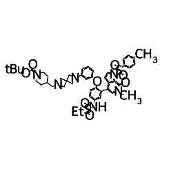 CCS(=O)(=O)Nc1ccc(Oc2cccc(N3CC4(CN(CC5CCN(C(=O)OC(C)(C)C)CC5)C4)C3)c2)c(-c2cn(C)c(=O)c3c2ccn3S(=O)(=O)c2ccc(C)cc2)c1